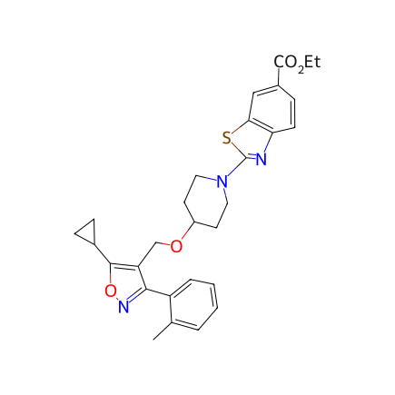 CCOC(=O)c1ccc2nc(N3CCC(OCc4c(-c5ccccc5C)noc4C4CC4)CC3)sc2c1